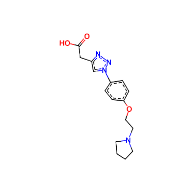 O=C(O)Cc1cn(-c2ccc(OCCN3CCCC3)cc2)nn1